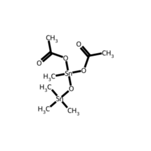 CC(=O)[O][Sn]([CH3])([O]C(C)=O)[O][Sn]([CH3])([CH3])[CH3]